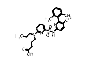 CCCN(CCCC(=O)O)c1cccc(S(=O)(=O)Nc2ccc(Cl)c(-c3c(C)cccc3C)n2)n1